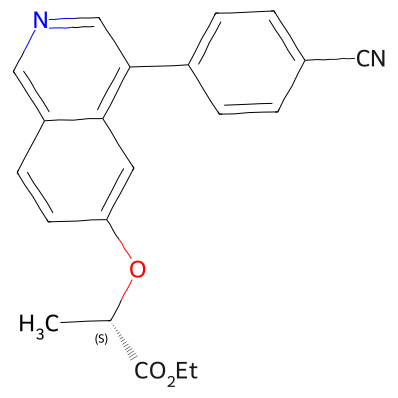 CCOC(=O)[C@H](C)Oc1ccc2cncc(-c3ccc(C#N)cc3)c2c1